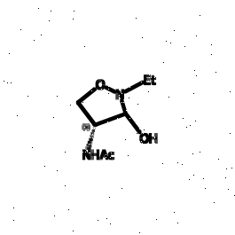 CCN1OC[C@@H](NC(C)=O)C1O